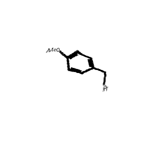 [CH2]C(C)Cc1ccc(OC)cc1